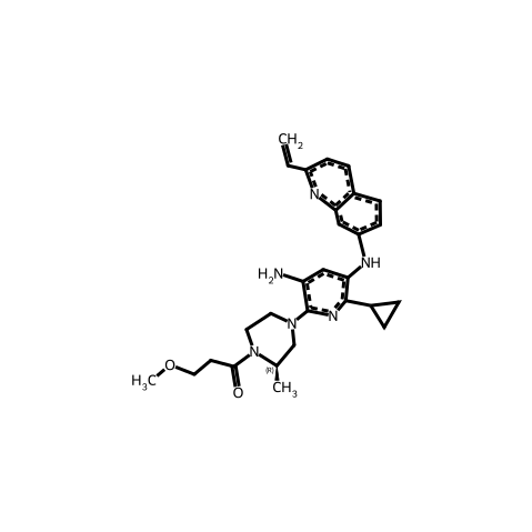 C=Cc1ccc2ccc(Nc3cc(N)c(N4CCN(C(=O)CCOC)[C@H](C)C4)nc3C3CC3)cc2n1